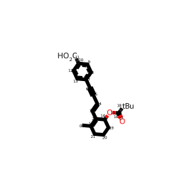 CC1=C(C=CC#Cc2ccc(C(=O)O)cc2)C(OC(=O)C(C)(C)C)CCC1